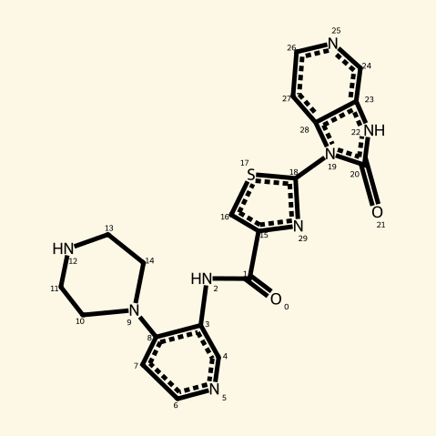 O=C(Nc1cnccc1N1CCNCC1)c1csc(-n2c(=O)[nH]c3cnccc32)n1